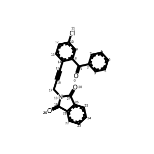 O=C(c1ccccc1)c1cc(Cl)ccc1C#CCN1C(=O)c2ccccc2C1=O